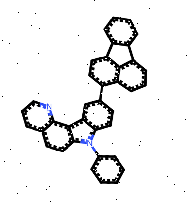 c1ccc(-n2c3ccc(-c4ccc5c6c(cccc46)-c4ccccc4-5)cc3c3c4ncccc4ccc32)cc1